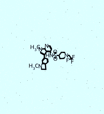 CN1CCc2ccc(-c3cn(C)c4nccc(NS(=O)(=O)C5CCN(CC(F)(F)F)CC5)c34)cc21